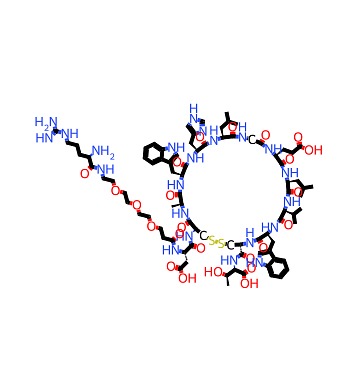 CC(C)C[C@@H]1NC(=O)[C@H](Cc2c[nH]cn2)NC(=O)[C@H](Cc2c[nH]c3ccccc23)NC(=O)[C@H](C)NC(=O)[C@@H](NC(=O)[C@H](CC(=O)O)NC(=O)CCOCCOCCOCCNC(=O)[C@H](N)CCCNC(=N)N)CSSC[C@@H](C(=O)N[C@H](C(=O)O)[C@@H](C)O)NC(=O)[C@H](Cc2c[nH]c3ccccc23)NC(=O)[C@H](C(C)C)NC(=O)[C@H](CC(C)C)NC(=O)[C@H](CCC(=O)O)NC(=O)CNC1=O